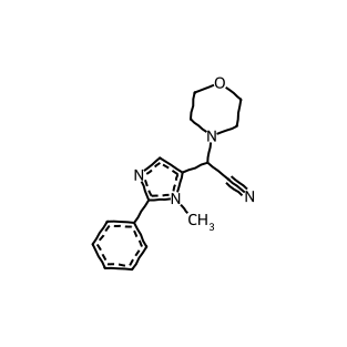 Cn1c(C(C#N)N2CCOCC2)cnc1-c1ccccc1